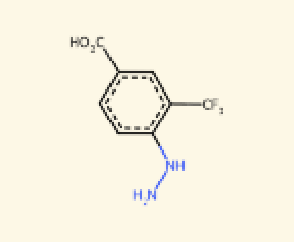 NNc1ccc(C(=O)O)cc1C(F)(F)F